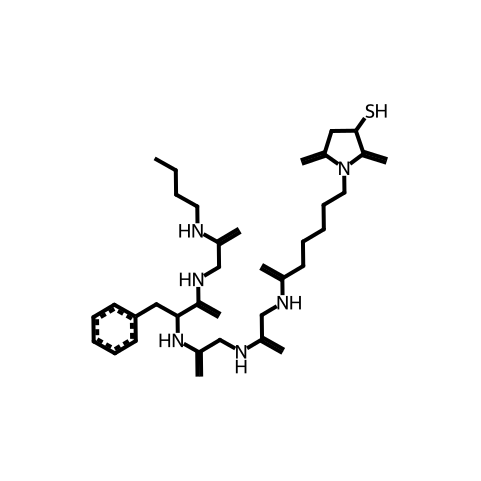 C=C(CCCCCN1C(=C)CC(S)C1=C)NCC(=C)NCC(=C)NC(Cc1ccccc1)C(=C)NCC(=C)NCCCC